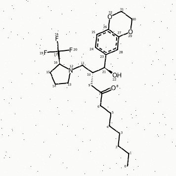 CCCCCCCC(=O)C[C@H](CN1CCC[C@H]1C(F)(F)F)[C@H](O)c1ccc2c(c1)OCCO2